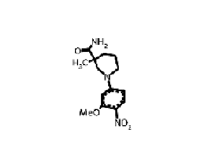 COc1cc(N2CCCC(C)(C(N)=O)C2)ccc1[N+](=O)[O-]